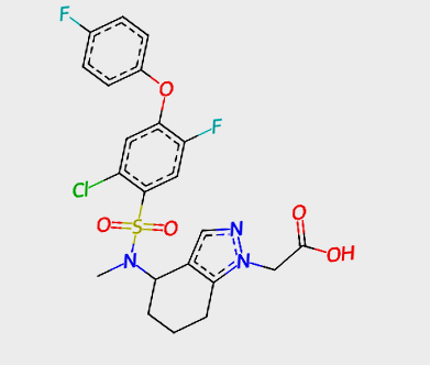 CN(C1CCCc2c1cnn2CC(=O)O)S(=O)(=O)c1cc(F)c(Oc2ccc(F)cc2)cc1Cl